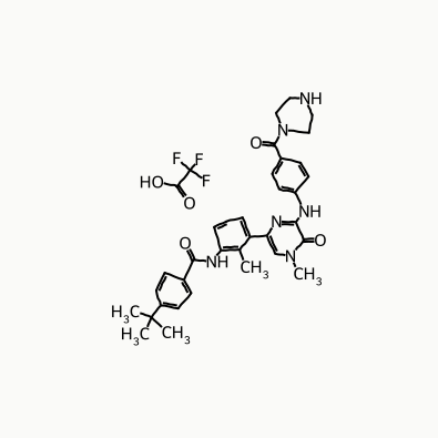 Cc1c(NC(=O)c2ccc(C(C)(C)C)cc2)cccc1-c1cn(C)c(=O)c(Nc2ccc(C(=O)N3CCNCC3)cc2)n1.O=C(O)C(F)(F)F